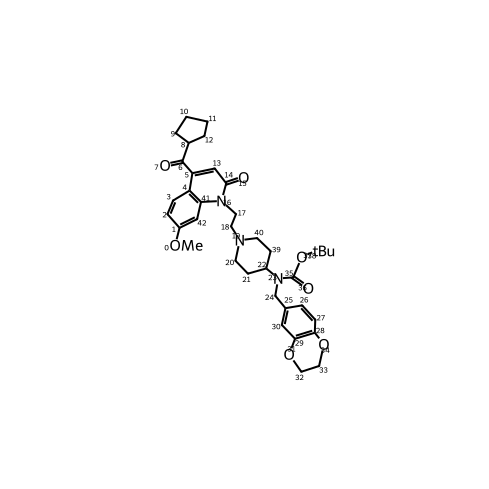 COc1ccc2c(C(=O)C3CCCC3)cc(=O)n(CCN3CCC(N(Cc4ccc5c(c4)OCCO5)C(=O)OC(C)(C)C)CC3)c2c1